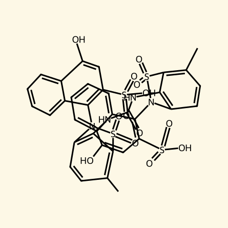 Cc1ccc2c(NC(=O)Nc3c4ccc(C)c3S(=O)(=O)N4c3c(S(=O)(=O)O)cc(O)c4ccccc34)c1S(=O)(=O)N2c1c(S(=O)(=O)O)cc(O)c2ccccc12